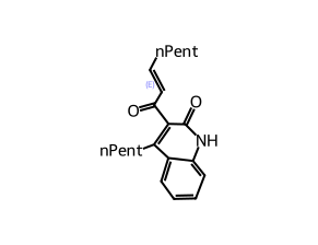 CCCCC/C=C/C(=O)c1c(CCCCC)c2ccccc2[nH]c1=O